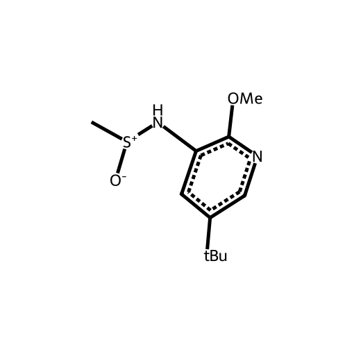 COc1ncc(C(C)(C)C)cc1N[S+](C)[O-]